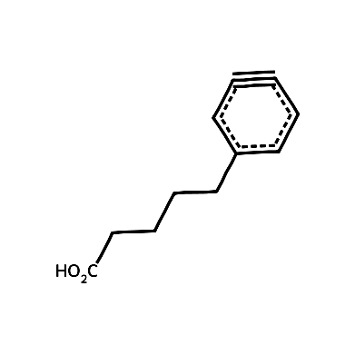 O=C(O)CCCCc1cc#ccc1